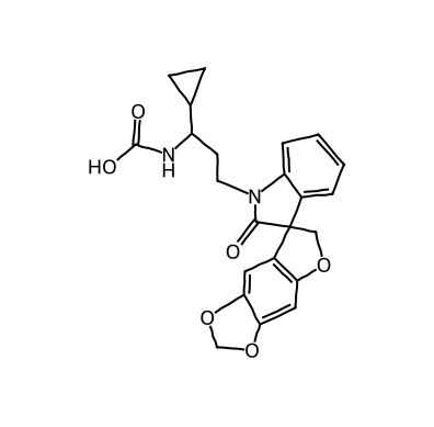 O=C(O)NC(CCN1C(=O)C2(COc3cc4c(cc32)OCO4)c2ccccc21)C1CC1